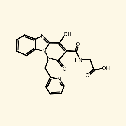 O=C(O)CNC(=O)c1c(O)c2nc3ccccc3n2n(Cc2ccccn2)c1=O